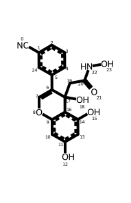 N#Cc1cccc(C2=COc3cc(O)cc(O)c3C2(O)CC(=O)NO)c1